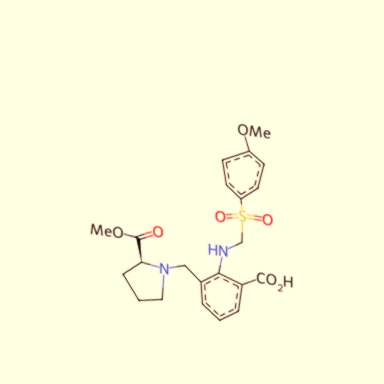 COC(=O)[C@@H]1CCCN1Cc1cccc(C(=O)O)c1NCS(=O)(=O)c1ccc(OC)cc1